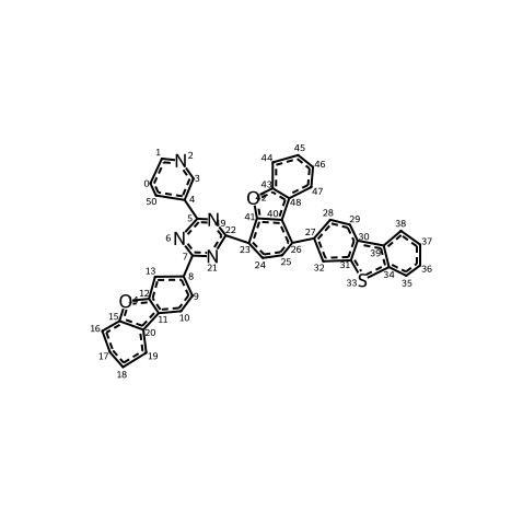 c1cncc(-c2nc(-c3ccc4c(c3)oc3ccccc34)nc(-c3ccc(-c4ccc5c(c4)sc4ccccc45)c4c3oc3ccccc34)n2)c1